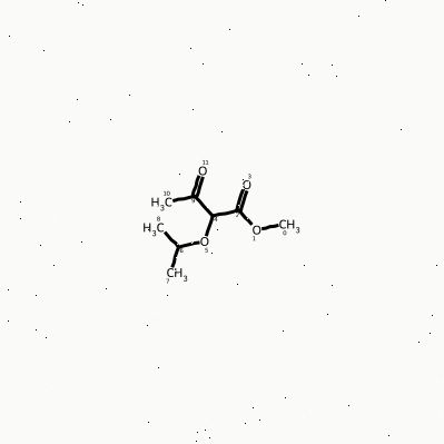 COC(=O)C(OC(C)C)C(C)=O